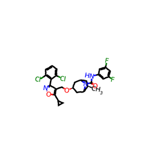 C[C@@H]1CC2C[C@H](OCc3c(-c4c(Cl)cccc4Cl)noc3C3CC3)CC1N2C(=O)Nc1cc(F)cc(F)c1